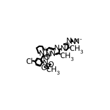 Cc1cn2nc([C@@H]3CCCCN3C(=O)c3cc(Cl)ccc3NS(C)(=O)=O)cc2nc1N1C[C@H](N=[N+]=[N-])[C@@H](C)C1